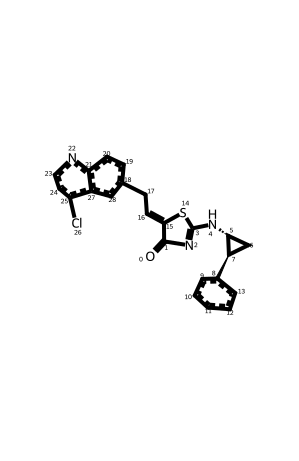 O=C1N=C(N[C@@H]2C[C@H]2c2ccccc2)S/C1=C\Cc1ccc2nccc(Cl)c2c1